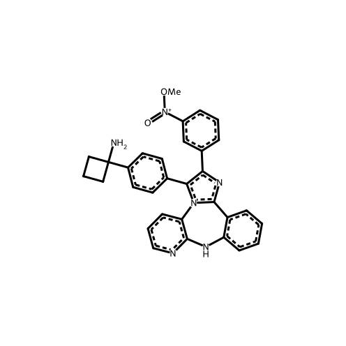 CO[N+](=O)c1cccc(-c2nc3n(c2-c2ccc(C4(N)CCC4)cc2)-c2cccnc2Nc2ccccc2-3)c1